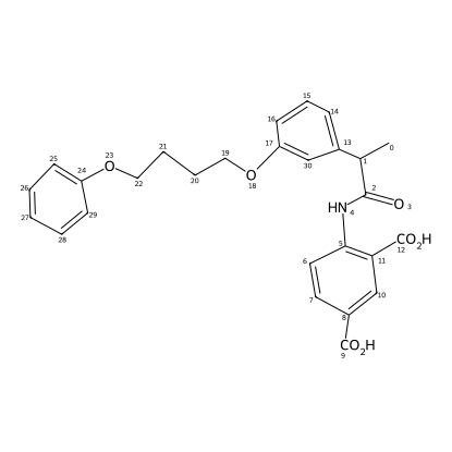 CC(C(=O)Nc1ccc(C(=O)O)cc1C(=O)O)c1cccc(OCCCCOc2ccccc2)c1